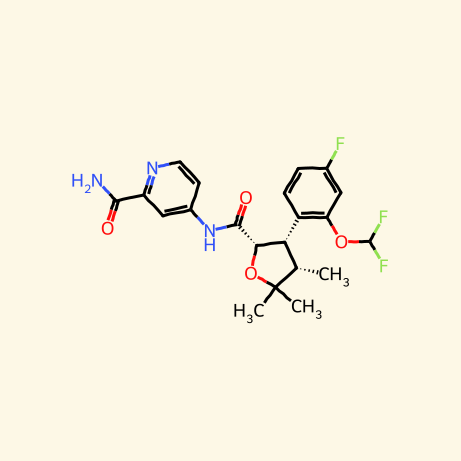 C[C@H]1[C@@H](c2ccc(F)cc2OC(F)F)[C@@H](C(=O)Nc2ccnc(C(N)=O)c2)OC1(C)C